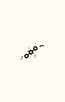 CCCCOc1ccc(-c2c(OC)c(Cl)c(-c3ccc(OS(C)(=O)=O)cc3)c(OC)c2OS(C)(=O)=O)cc1OC